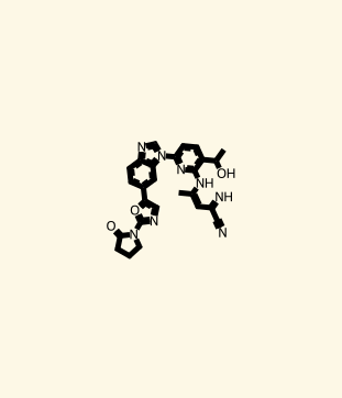 C/C(=C/C(=N)C#N)Nc1nc(-n2cnc3ccc(-c4cnc(N5CCCC5=O)o4)cc32)ccc1C(C)O